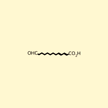 O=CCCCCCCC/C=C/C=C/C(=O)O